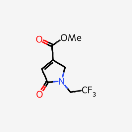 COC(=O)C1=CC(=O)N(CC(F)(F)F)C1